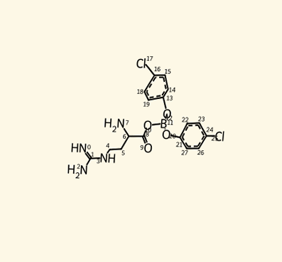 N=C(N)NCCC(N)C(=O)OB(Oc1ccc(Cl)cc1)Oc1ccc(Cl)cc1